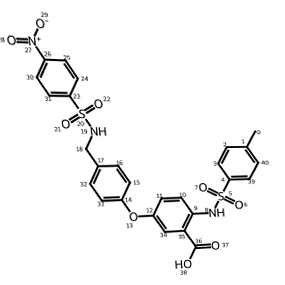 Cc1ccc(S(=O)(=O)Nc2ccc(Oc3ccc(CNS(=O)(=O)c4ccc([N+](=O)[O-])cc4)cc3)cc2C(=O)O)cc1